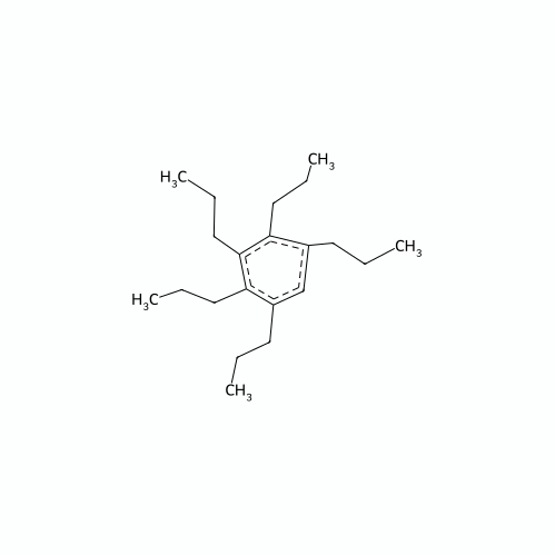 CCCc1cc(CCC)c(CCC)c(CCC)c1CCC